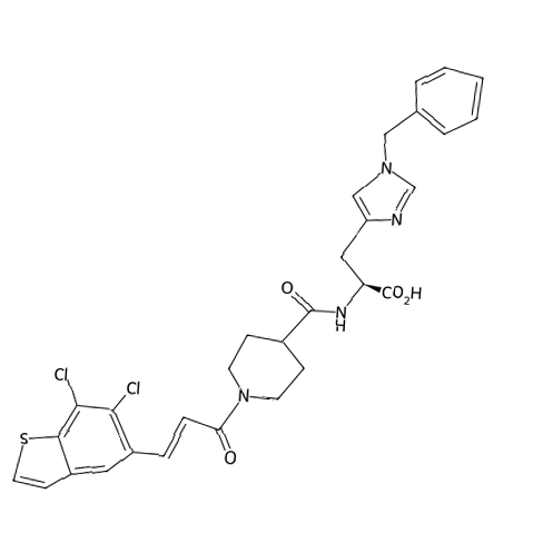 O=C(N[C@@H](Cc1cn(Cc2ccccc2)cn1)C(=O)O)C1CCN(C(=O)/C=C/c2cc3ccsc3c(Cl)c2Cl)CC1